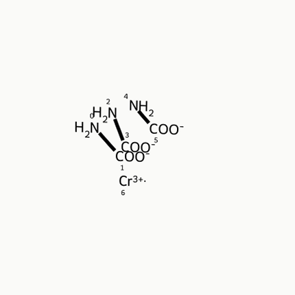 NC(=O)[O-].NC(=O)[O-].NC(=O)[O-].[Cr+3]